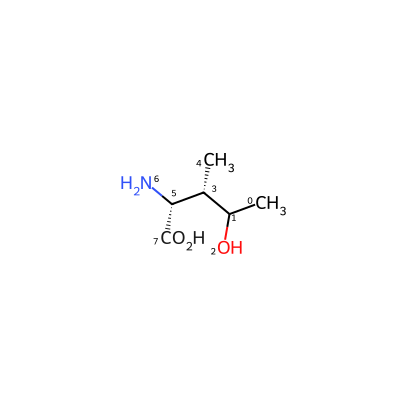 CC(O)[C@@H](C)[C@@H](N)C(=O)O